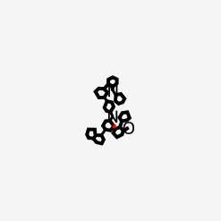 c1ccc(-n2c3ccccc3c3cccc(-c4ccc(N(c5ccc(-c6cccc7ccccc67)cc5)c5cccc6oc7ccccc7c56)cc4)c32)cc1